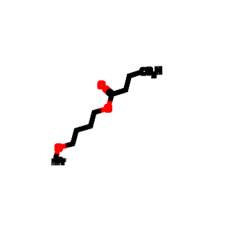 CCCOCCCCOC(=O)CCC(=O)O